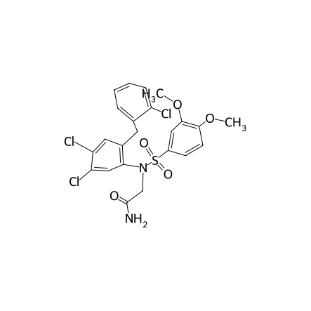 COc1ccc(S(=O)(=O)N(CC(N)=O)c2cc(Cl)c(Cl)cc2Cc2ccccc2Cl)cc1OC